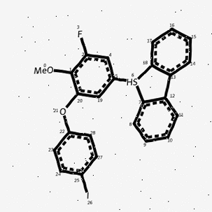 COc1c(F)cc([SH]2c3ccccc3-c3ccccc32)cc1Oc1ccc(I)cc1